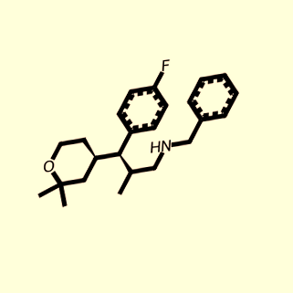 CC(CNCc1ccccc1)[C@H](c1ccc(F)cc1)[C@@H]1CCOC(C)(C)C1